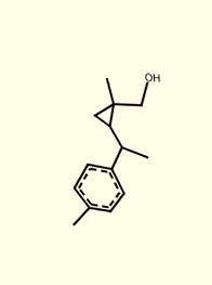 Cc1ccc(C(C)C2CC2(C)CO)cc1